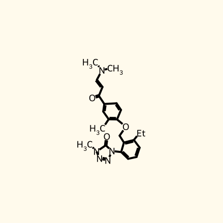 CCc1cccc(-n2nnn(C)c2=O)c1COc1ccc(C(=O)C=CN(C)C)cc1C